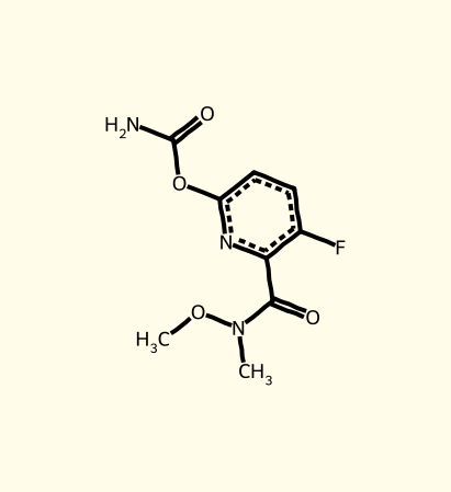 CON(C)C(=O)c1nc(OC(N)=O)ccc1F